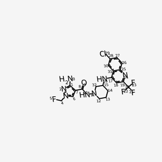 Nc1nn(CF)cc1C(=O)NN1CCCC(Nc2cc(C(F)(F)F)nc3ccc(Cl)cc23)C1